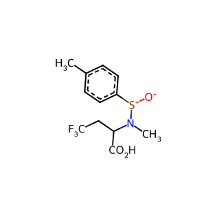 Cc1ccc([S+]([O-])N(C)C(CC(F)(F)F)C(=O)O)cc1